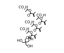 C=C(C)C(=O)OC(C)C(=O)O.C=C(C)C(=O)OC(C)C(=O)O.C=C(C)C(=O)OC(C)C(=O)O.C=C(C)C(=O)OC(C)C(=O)O.OCC(CO)(CO)CO